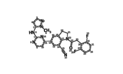 Cn1nccc1Nc1nccc(-c2cc(C#N)c3c(c2)CCN3C(=O)Cc2c(F)cccc2F)n1